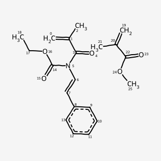 C=C(C)C(=O)N(C=Cc1ccccc1)C(=O)OCC.C=C(C)C(=O)OC